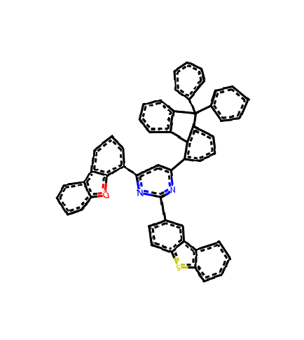 c1ccc(C2(c3ccccc3)c3ccccc3-c3c(-c4cc(-c5cccc6c5oc5ccccc56)nc(-c5ccc6sc7ccccc7c6c5)n4)cccc32)cc1